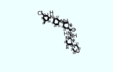 Cc1cc(Cl)cc(Nc2cccc(Nc3ccc(C(=O)NNc4ncc(F)c(N5CCOCC5)n4)nc3)c2)c1